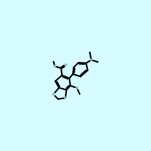 COC(=O)c1cc2c(c(OC)c1-c1ccc(N(C)C)cc1)OCO2